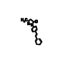 CC1=NN(c2ccc(/C=C/C3=CCCC=C3)cc2)C(=O)C1